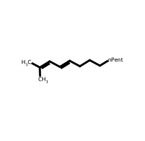 CCCCCCCCC=CC=C(C)C